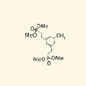 COP(=O)(CCc1cc(C)cc(CCP(=O)(OC)OC)c1)OC